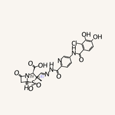 C[C@]1(/C=N/NC(=O)c2ccc(NC(=O)c3ccc(O)c(O)c3Cl)cn2)[C@H](C(=O)O)N2C(=O)C[C@H]2S1(=O)=O